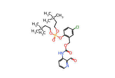 C[Si](C)(C)CCOP(=O)(OCC[Si](C)(C)C)Oc1ccc(Cl)cc1COC(=O)Nc1cccnc1C=O